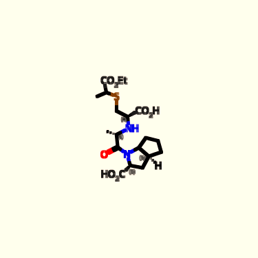 CCOC(=O)C(C)SC[C@H](N[C@@H](C)C(=O)N1C2CCC[C@H]2C[C@H]1C(=O)O)C(=O)O